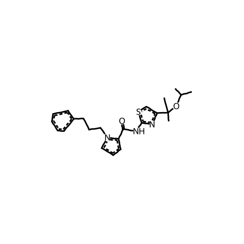 CC(C)OC(C)(C)c1csc(NC(=O)c2cccn2CCCc2ccccc2)n1